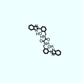 O=C(NCc1cccc(-n2nc3ccccc3n2)c1O)C(=O)NCc1cccc(-n2nc3ccccc3n2)c1O